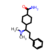 CN(C)C(CCc1ccccc1)C1CCC(C(N)=O)CC1